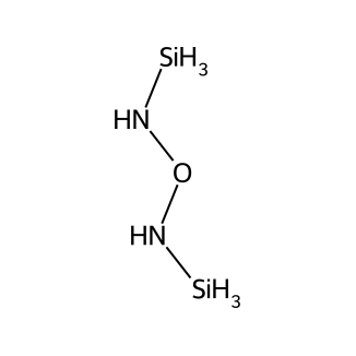 [SiH3]NON[SiH3]